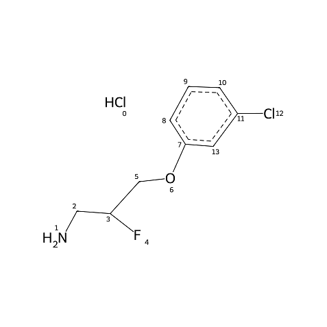 Cl.NCC(F)COc1cccc(Cl)c1